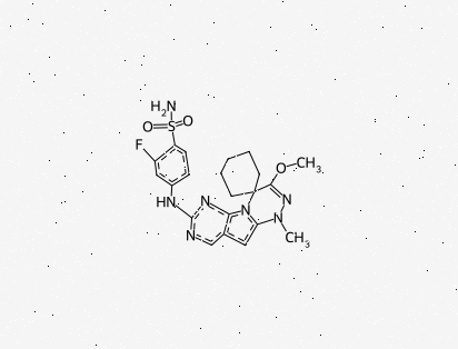 COC1=NN(C)c2cc3cnc(Nc4ccc(S(N)(=O)=O)c(F)c4)nc3n2C12CCCCC2